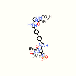 COC(=O)N[C@H](C(=O)N1CC2(CC1c1nc(-c3ccc(-c4ccc(-c5c[nH]c([C@@H]6CCCN6C(=O)[C@@H](NC(=O)O)C(C)C)n5)cc4)cc3)c[nH]1)CN(S(C)(=O)=O)C2)C(C)C